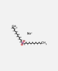 CCCCCCCCCCCCP(=O)([O-])CCCCCCCCCCCC.[Na+]